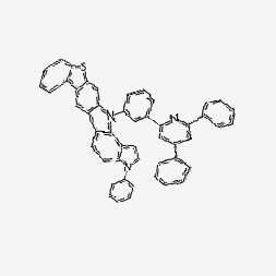 c1ccc(-c2cc(-c3ccccc3)nc(-c3cccc(-n4c5cc6sc7ccccc7c6cc5c5ccc6c(ccn6-c6ccccc6)c54)c3)c2)cc1